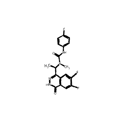 CC(c1n[nH]c(=O)c2cc(F)c(F)cc12)N(C)C(=O)Nc1ccc(F)cc1